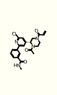 C=CC(=O)N1CCN(C(C)=O)[C@H](c2cc(Cl)nc(-c3cccc(C(=O)NC)c3)c2)C1